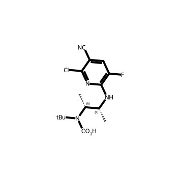 C[C@H]([C@@H](C)Nc1nc(Cl)c(C#N)cc1F)N(C(=O)O)C(C)(C)C